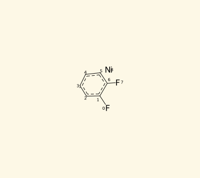 Fc1c[c]ccc1F.[Ni]